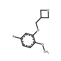 COc1ccc(F)cc1OCC1COC1